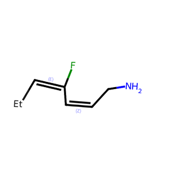 CC/C=C(F)\C=C/CN